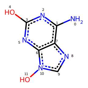 Nc1nc(O)nc2c1ncn2O